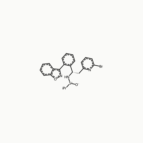 CC(C)[S+]([O-])N[C@@H](Cc1cccc(Br)n1)c1ccccc1-c1noc2ccccc12